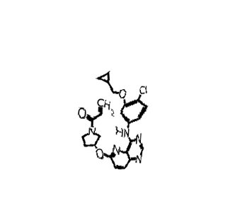 C=CC(=O)N1CC[C@H](Oc2ccc3ncnc(Nc4ccc(Cl)c(OCC5CC5)c4)c3n2)C1